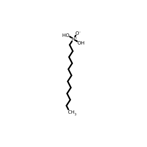 CCCCCCCCCCCC[N+]([O-])(O)O